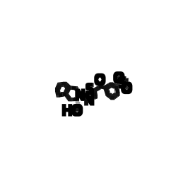 CS(=O)(=O)c1cccc(C(=O)c2cnc(N3Cc4ccccc4C[C@H]3CO)s2)c1